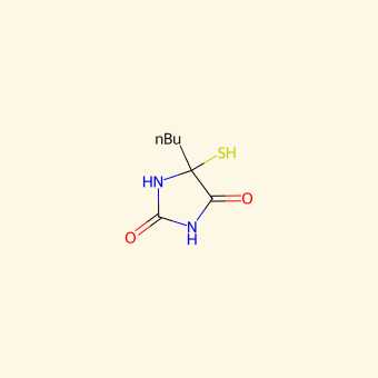 CCCCC1(S)NC(=O)NC1=O